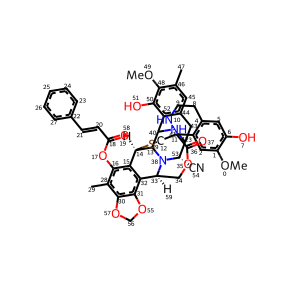 COc1cc2c(cc1O)CCN[C@]21CS[C@@H]2c3c(OC(=O)/C=C/c4ccccc4)c(C)c4c(c3[C@H](COC1=O)N1C2C2NC(Cc3cc(C)c(OC)c(O)c32)[C@@H]1C#N)OCO4